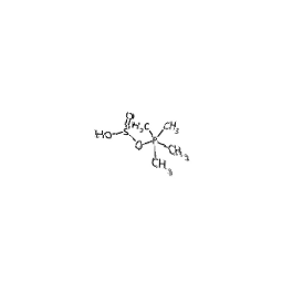 CP(C)(C)(C)OS(=O)O